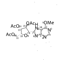 COc1ncnc2nc([C@@H]3O[C@H](COC(C)=O)[C@H](OC(C)=O)[C@H]3OC(C)=O)[nH]c12